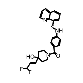 O=C(c1ccc(NSc2cccc3cccnc23)cc1)N1CCC(O)(/C=C/C(F)F)CC1